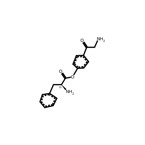 NCC(=O)c1ccc(OC(=O)[C@@H](N)Cc2ccccc2)cc1